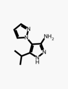 CC(C)c1[nH]nc(N)c1-n1cccn1